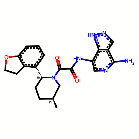 C[C@H]1CC[C@H](c2cccc3c2CCO3)N(C(=O)C(=O)Nc2cnc(N)c3cn[nH]c23)C1